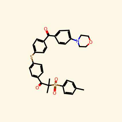 Cc1ccc(S(=O)(=O)C(C)(C)C(=O)c2ccc(Sc3ccc(C(=O)c4ccc(N5CCOCC5)cc4)cc3)cc2)cc1